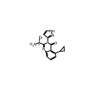 CC[C@H](N)c1nc2cccc(C3CC3)c2c(=O)n1-c1cc[nH]n1